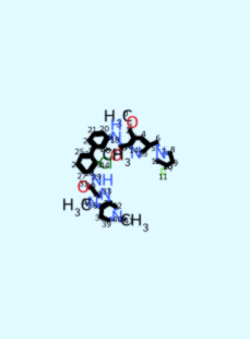 COCc1cc(CN2CC[C@@H](F)C2)cnc1C(=O)Nc1cccc(-c2cccc(NC(=O)c3nc4c(n3C)CCN(C)C4)c2Cl)c1C